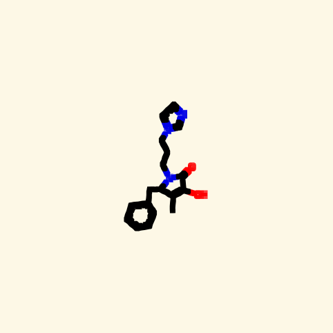 CC1=C(O)C(=O)N(CCCn2ccnc2)C1Cc1ccccc1